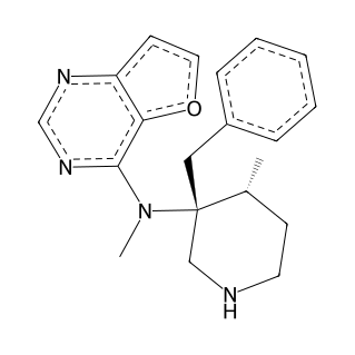 C[C@@H]1CCNC[C@]1(Cc1ccccc1)N(C)c1ncnc2ccoc12